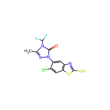 Cc1nn(-c2cc3nc(S)sc3cc2Cl)c(=O)n1C(F)F